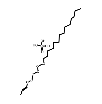 CC=COOOOOOCCCCCCCCCCCCCC.O=P(O)(O)O